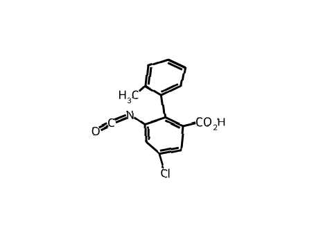 Cc1ccccc1-c1c(N=C=O)cc(Cl)cc1C(=O)O